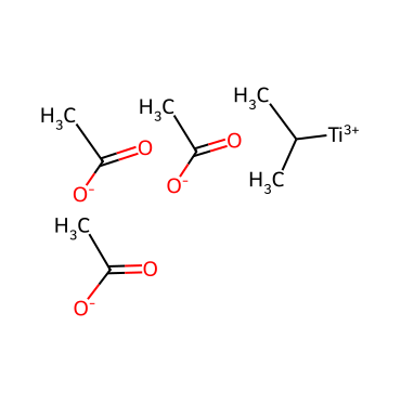 CC(=O)[O-].CC(=O)[O-].CC(=O)[O-].C[CH](C)[Ti+3]